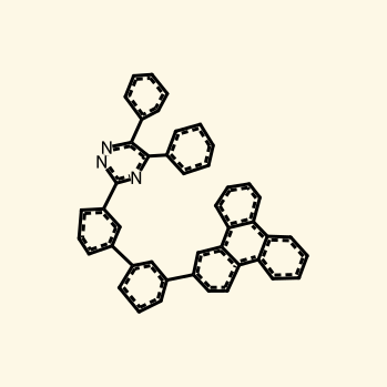 c1ccc(-c2nnc(-c3cccc(-c4cccc(-c5ccc6c7ccccc7c7ccccc7c6c5)c4)c3)nc2-c2ccccc2)cc1